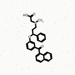 CN(CCC(Oc1cccc(C(=O)c2cccc3ccccc23)c1)c1ccccc1)CC(=O)O